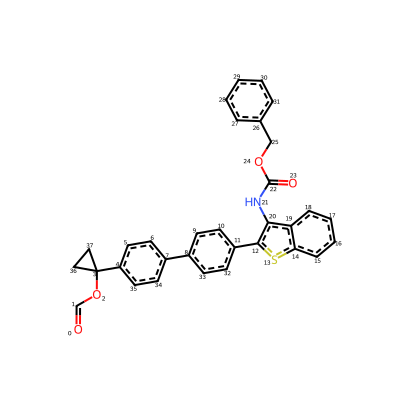 O=COC1(c2ccc(-c3ccc(-c4sc5ccccc5c4NC(=O)OCc4ccccc4)cc3)cc2)CC1